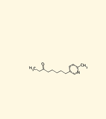 CCC(=O)CCCCCc1ccc(C)nc1